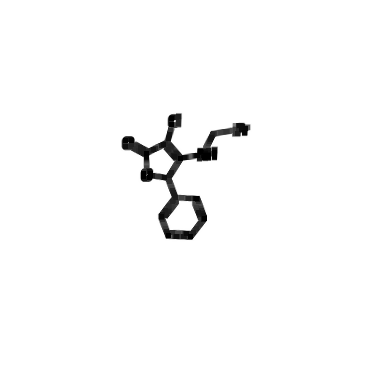 CC(C)CNC1=C(Cl)C(=O)OC1c1ccccc1